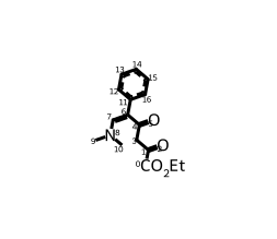 CCOC(=O)C(=O)CC(=O)C(=CN(C)C)c1ccccc1